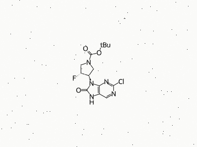 CC(C)(C)OC(=O)N1C[C@@H](F)[C@H](n2c(=O)[nH]c3cnc(Cl)nc32)C1